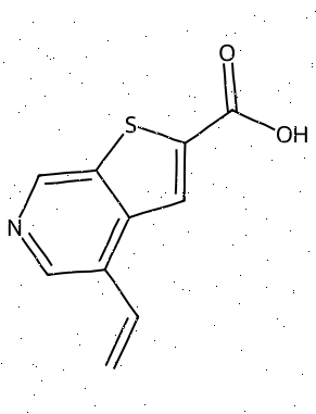 C=Cc1cncc2sc(C(=O)O)cc12